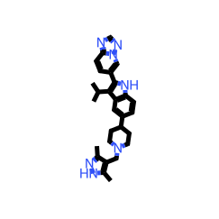 Cc1n[nH]c(C)c1CN1CCC(c2ccc3[nH]c(-c4ccc5ncnn5c4)c(C(C)C)c3c2)CC1